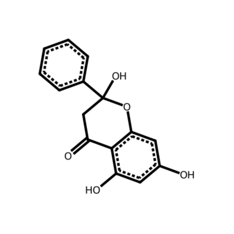 O=C1CC(O)(c2ccccc2)Oc2cc(O)cc(O)c21